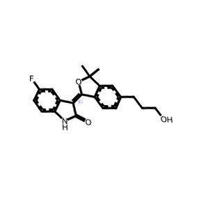 CC1(C)O/C(=C2/C(=O)Nc3ccc(F)cc32)c2ccc(CCCO)cc21